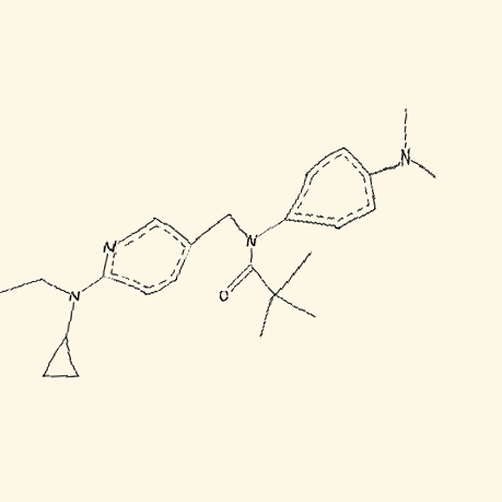 CCN(c1ccc(CN(C(=O)C(C)(C)C)c2ccc(N(C)C)cc2)cn1)C1CC1